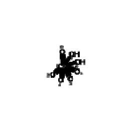 [O]=[Cr](=[O])(=[O])(=[O])(=[O])([OH])[OH]